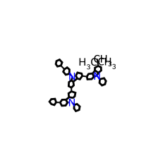 CC(C)(C)c1ccc2c(c1)c1cc(-c3ccc4c(c3)c3cc(-c5ccc6c(c5)c5cc(-c7ccccc7)ccc5n6-c5ccccc5)ccc3n4-c3ccc(-c4ccccc4)cc3)ccc1n2-c1ccccc1